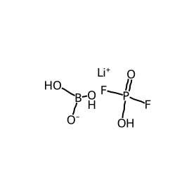 O=P(O)(F)F.[Li+].[O-]B(O)O